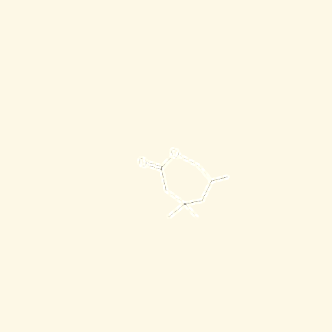 CC1COC(=O)CC(C)(C)C1